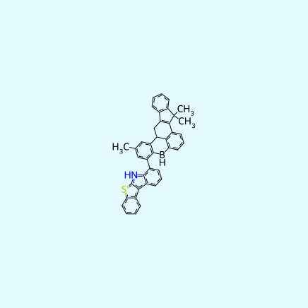 Cc1cc(-c2cccc3c2[nH]c2sc4ccccc4c23)c2c(c1)C1CC3=C(c4cccc(c41)B2)C(C)(C)c1ccccc13